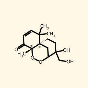 CC1(C)C=CC(=O)[C@@]2(C)OOC3C[C@]12CCC3(O)CO